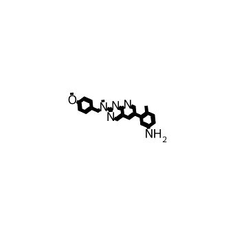 COc1ccc(CN(C)c2ncc3cc(-c4cc(N)ccc4C)cnc3n2)cc1